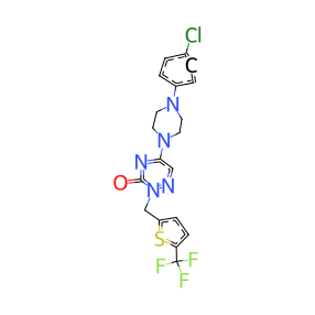 O=c1nc(N2CCN(c3ccc(Cl)cc3)CC2)cnn1Cc1ccc(C(F)(F)F)s1